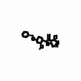 COc1cc(OCc2ccccc2)ccc1-c1nc2cnnc(Cl)c2[nH]1